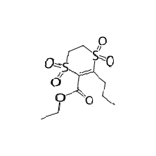 CCCC1=C(C(=O)OCC)S(=O)(=O)CCS1(=O)=O